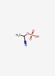 CC(C#N)OS(=O)(=O)O